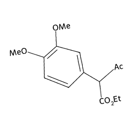 CCOC(=O)C(C(C)=O)c1ccc(OC)c(OC)c1